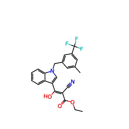 CCOC(=O)/C(C#N)=C(\O)c1cn(Cc2cc(C)cc(C(F)(F)F)c2)c2ccccc12